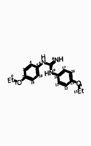 CCOc1ccc(NC(=N)Nc2ccc(OCC)cc2)cc1